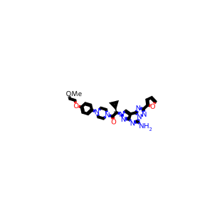 COCCOc1ccc(N2CCN(C(=O)[C@@H](C3CC3)n3cc4c(nc(N)n5nc(-c6ccco6)nc45)n3)CC2)cc1